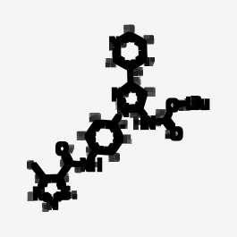 Cc1nnsc1C(=O)Nc1ccc(-n2nc(-c3cccnc3)cc2NC(=O)OC(C)(C)C)cc1